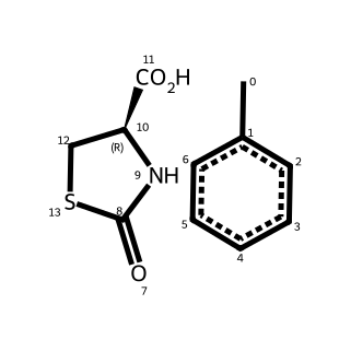 Cc1ccccc1.O=C1N[C@H](C(=O)O)CS1